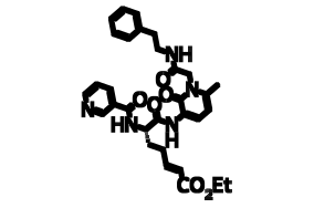 CCOC(=O)/C=C/CC[C@H](NC(=O)c1cccnc1)C(=O)Nc1ccc(C)n(CC(=O)NCCc2ccccc2)c1=O